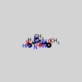 COc1cccc2[nH]c(C(=O)N[C@@H](CC(C)C)C(=O)N[C@H](C#N)C[C@@H]3CCNC3=O)cc12